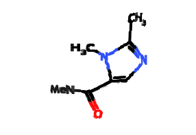 CNC(=O)c1cnc(C)n1C